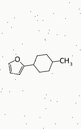 CC1CCC(c2ccco2)CC1